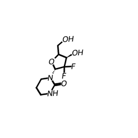 O=C1NCCCN1[C@@H]1OC(CO)[C@@H](O)C1(F)F